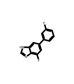 Fc1cc[c]c(-c2cc(F)c3nc[nH]c3c2)c1